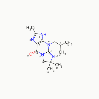 Cc1nc2c([nH]1)N(CC(C)C)C1=NC(C)(C)CN1C2=O